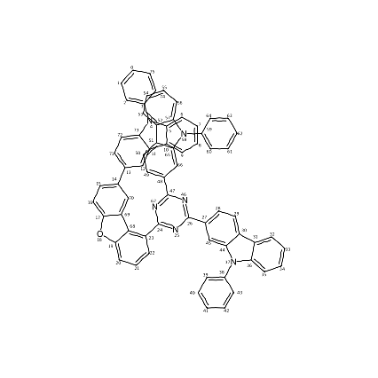 c1ccc(-n2c3ccccc3c3cc(-c4ccc5oc6cccc(-c7nc(-c8ccc9c%10ccccc%10n(-c%10ccccc%10)c9c8)nc(-c8ccc9c%10ccccc%10n(-c%10ccccc%10)c9c8)n7)c6c5c4)ccc32)cc1